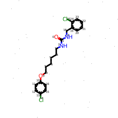 O=C(NCCCCCCOc1ccc(Cl)cc1)NCc1ccccc1Cl